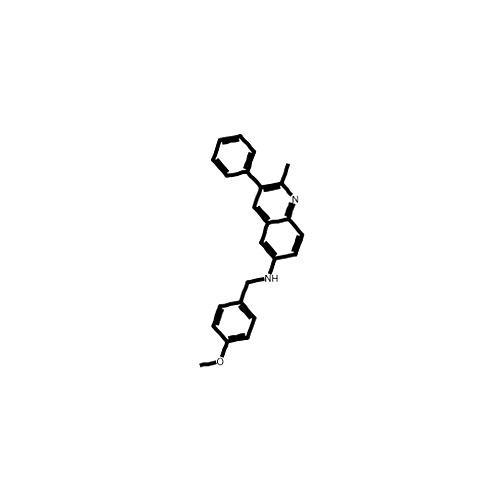 COc1ccc(CNc2ccc3nc(C)c(-c4ccccc4)cc3c2)cc1